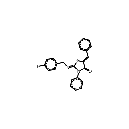 O=C1C(=Cc2ccccc2)SC(=NCc2ccc(F)cc2)N1c1ccccc1